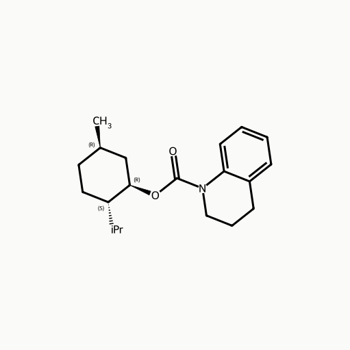 CC(C)[C@@H]1CC[C@@H](C)C[C@H]1OC(=O)N1CCCc2ccccc21